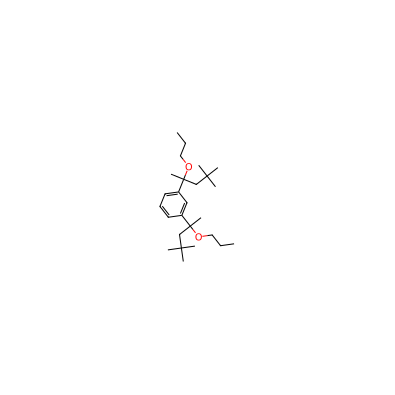 CCCOC(C)(CC(C)(C)C)c1cccc(C(C)(CC(C)(C)C)OCCC)c1